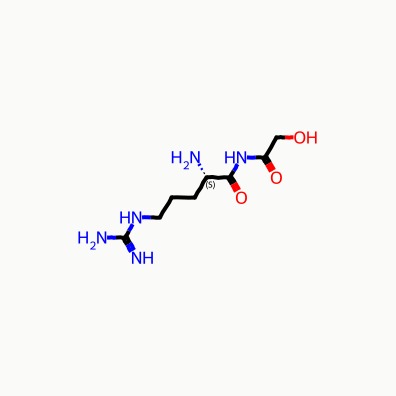 N=C(N)NCCC[C@H](N)C(=O)NC(=O)CO